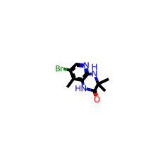 Cc1c(Br)cnc2c1NC(=O)C(C)(C)N2